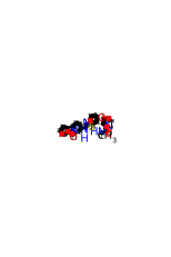 CNC(=O)c1cc(Oc2ccc3nc(N[C@H]4CCCN(C(=O)c5ccccc5)C4)sc3c2)ccn1